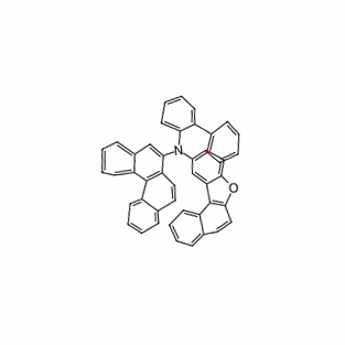 c1ccc(-c2ccccc2N(c2ccc3oc4ccc5ccccc5c4c3c2)c2cc3ccccc3c3c2ccc2ccccc23)cc1